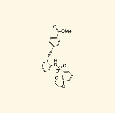 COC(=O)c1ccc(C#Cc2ccccc2NS(=O)(=O)c2cccc3c2OCCO3)cc1